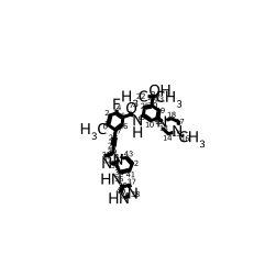 Cc1cc(F)c(C(=O)Nc2cc(N3CCN(C)CC3)cc(C(C)(C)O)c2)cc1C#Cc1cnc2c(Nc3cn[nH]c3)cccn12